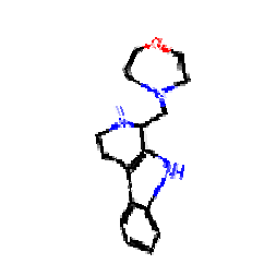 c1ccc2c3c([nH]c2c1)C(CN1CCOCC1)NCC3